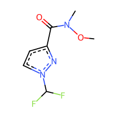 CON(C)C(=O)c1ccn(C(F)F)n1